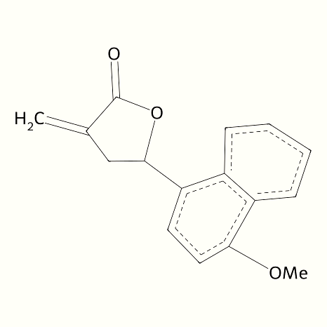 C=C1CC(c2ccc(OC)c3ccccc23)OC1=O